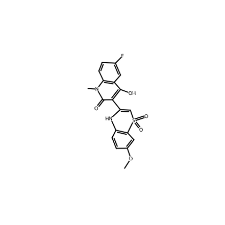 COc1ccc2c(c1)S(=O)(=O)C=C(c1c(O)c3cc(F)ccc3n(C)c1=O)N2